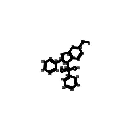 CSc1ccc2c(c1)cc(-c1ccccc1)n2S(=O)(=O)c1ccccc1